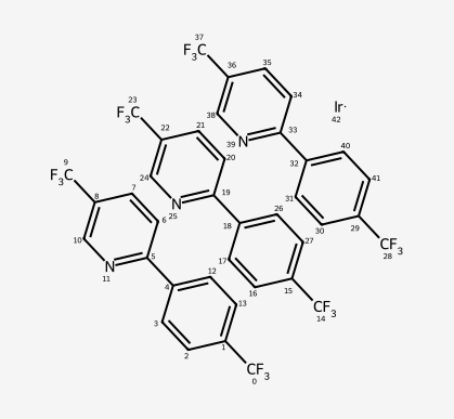 FC(F)(F)c1ccc(-c2ccc(C(F)(F)F)cn2)cc1.FC(F)(F)c1ccc(-c2ccc(C(F)(F)F)cn2)cc1.FC(F)(F)c1ccc(-c2ccc(C(F)(F)F)cn2)cc1.[Ir]